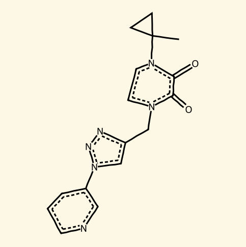 CC1(n2ccn(Cc3cn(-c4cccnc4)nn3)c(=O)c2=O)CC1